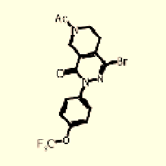 CC(=O)N1CCc2c(Br)nn(-c3ccc(OC(F)(F)F)cc3)c(=O)c2C1